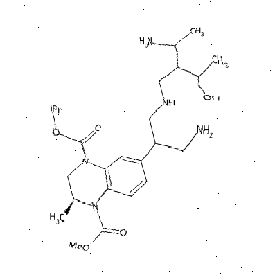 COC(=O)N1c2ccc(C(CN)CNCC(C(C)N)C(C)O)cc2N(C(=O)OC(C)C)C[C@@H]1C